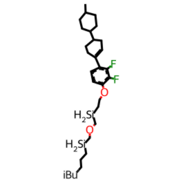 CCC(C)CCC[SiH2]COC[SiH2]CCOc1ccc(C2=CCC(C3CCC(C)CC3)CC2)c(F)c1F